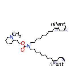 CCCCC/C=C\C/C=C\CCCCCCCCN(CCCCCCCC/C=C\C/C=C\CCCCC)C(=O)OCCC1CCCCN1C